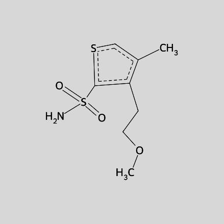 COCCc1c(C)csc1S(N)(=O)=O